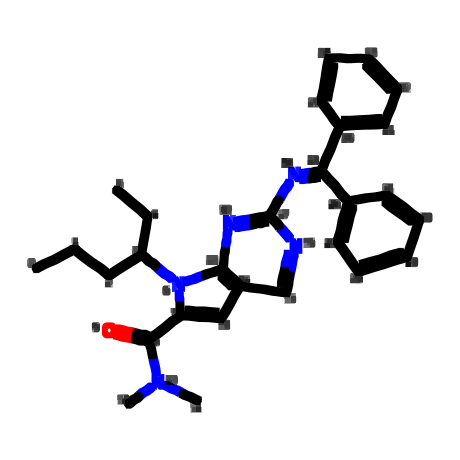 CCCC(CC)n1c(C(=O)N(C)C)cc2cnc(N=C(c3ccccc3)c3ccccc3)nc21